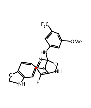 COc1cc(NC23N=CC(F)=C(NO2)N3c2ccc3c(c2)NCO3)cc(C(F)(F)F)c1